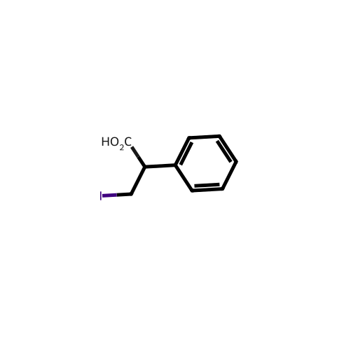 O=C(O)C(CI)c1ccccc1